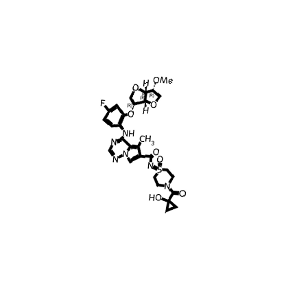 CO[C@@H]1CO[C@H]2[C@@H]1OC[C@H]2Oc1cc(F)ccc1Nc1ncnn2cc(C(=O)N=S3(=O)CCN(C(=O)C4(O)CC4)CC3)c(C)c12